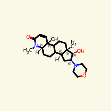 CN1C(=O)C=C[C@]2(C)C3CC[C@@]4(C)[C@@H](C[C@H](N5CCOCC5)[C@@H]4O)C3CC[C@@H]12